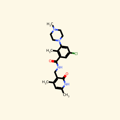 Cc1cc(C)c(CNC(=O)c2cc(Cl)cc(N3CCN(C)CC3)c2C)c(=O)[nH]1